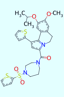 COc1cc2c(cc1OC(C)C)-c1c(-c3cccs3)cc(C(=O)N3CCCN(S(=O)(=O)c4cccs4)CC3)n1CC2